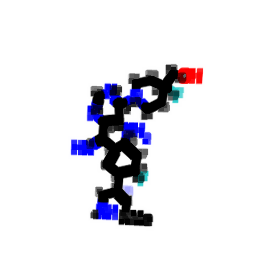 CN/C=C(\C=N)c1cc(C(=N)c2cc(N3CCC(F)(CO)CC3)ncn2)c(N)cc1F